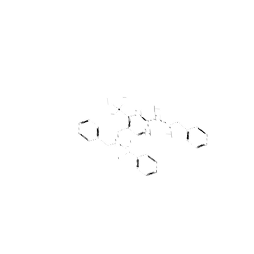 O=S(=O)(c1ccccc1)N(Cc1ccccc1)Cc1cnc(NNCc2ccccc2)nc1C(F)(F)F